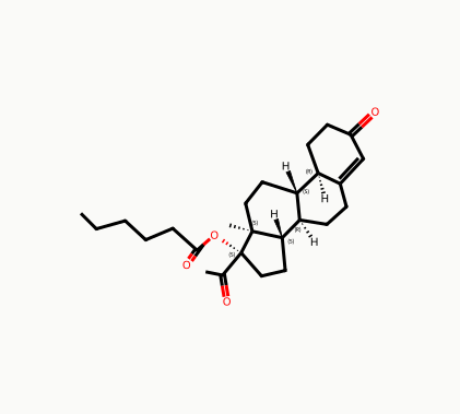 CCCCCC(=O)O[C@@]1(C(C)=O)CC[C@H]2[C@@H]3CCC4=CC(=O)CC[C@@H]4[C@H]3CC[C@@]21C